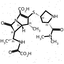 C[C@@H](NC(=O)C(=O)O)[C@H]1C(=O)N2C(C(=O)O)=C(S[C@@H]3CN[C@H](C(=O)N(C)C)C3)[C@H](C)[C@H]12